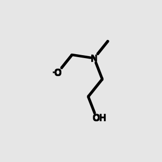 CN(C[O])CCO